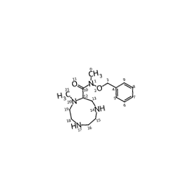 CN(OCc1ccccc1)C(=O)C1CNCCNCCN1C